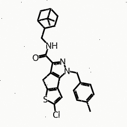 Cc1ccc(Cn2nc(C(=O)NCC3CCC4CC3C4(C)C)c3c2-c2cc(Cl)sc2C3)cc1